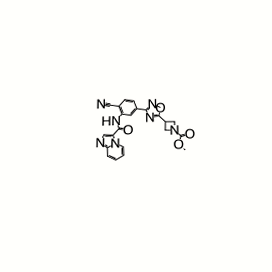 COC(=O)N1CC(c2nc(-c3ccc(C#N)c(NC(=O)c4cnc5ccccn45)c3)no2)C1